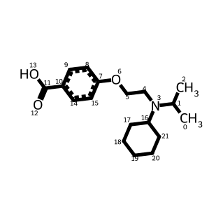 CC(C)N(CCOc1ccc(C(=O)O)cc1)C1CCCCC1